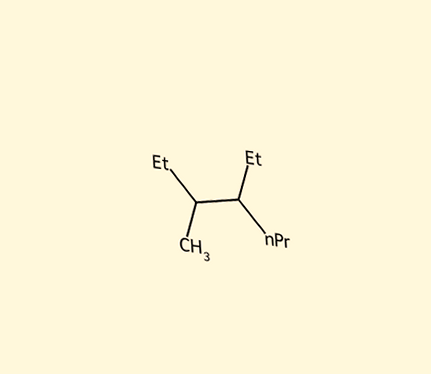 [CH2]CCC(CC)C(C)CC